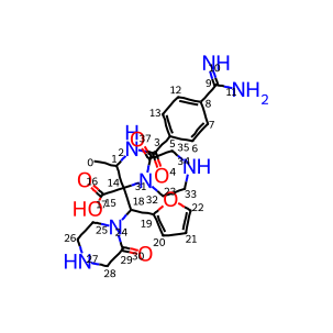 CC(NC(=O)c1ccc(C(=N)N)cc1)C(C(=O)O)(C(c1ccco1)N1CCNCC1=O)N1CCNCC1=O